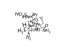 CC(C)[C@H](NC(=O)O)C(=O)N1C[C@H]2[C@@H]([C@H]1C(=O)NC(CC1CC1)C(O)C(N)=O)C2(C)C